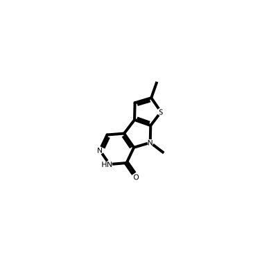 Cc1cc2c3cn[nH]c(=O)c3n(C)c2s1